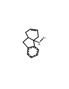 CCNC12CC=CCC1Cc1ccccc12